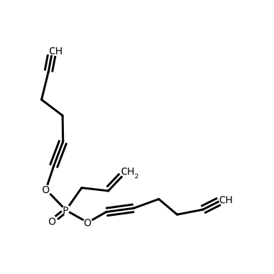 C#CCCC#COP(=O)(CC=C)OC#CCCC#C